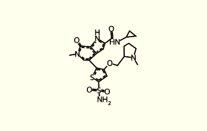 CN1CCCC1COc1cc(S(N)(=O)=O)sc1-c1cn(C)c(=O)c2[nH]c(C(=O)NC3CC3)cc12